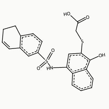 O=C(O)CSc1cc(NS(=O)(=O)c2ccc3c(c2)C=CCC3)c2ccccc2c1O